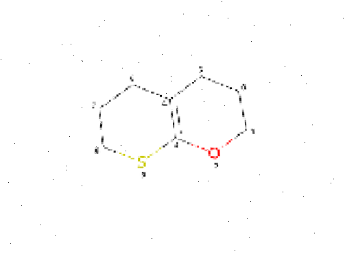 C1COC2=C(C1)CCCS2